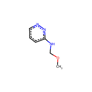 COCNc1cccnn1